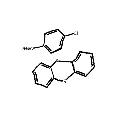 COc1ccc(Cl)cc1.c1ccc2c(c1)Sc1ccccc1S2